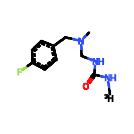 [3H]NC(=O)NCN(C)Cc1ccc(F)cc1